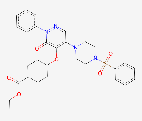 CCOC(=O)C1CCC(Oc2c(N3CCN(S(=O)(=O)c4ccccc4)CC3)cnn(-c3ccccc3)c2=O)CC1